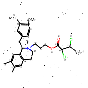 COc1ccc(C[C@@H]2c3cc(C)c(C)cc3CC[N@@+]2(C)CCCOC(=O)C(Cl)C(Cl)C(=O)O)cc1OC